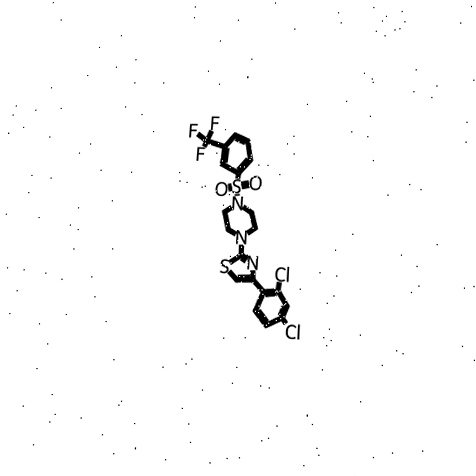 O=S(=O)(c1cccc(C(F)(F)F)c1)N1CCN(c2nc(-c3ccc(Cl)cc3Cl)cs2)CC1